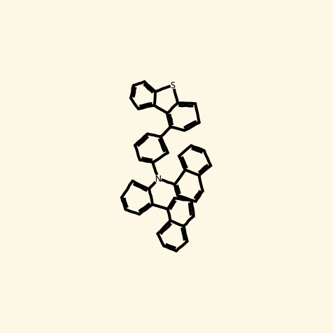 c1cc(-c2cccc3sc4ccccc4c23)cc(N(c2ccccc2-c2cccc3ccccc23)c2cccc3ccccc23)c1